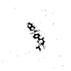 CC1CC(=O)N(C(C)C)N=C1c1ccc(NC(=O)N2Cc3ccncc3C2)cc1